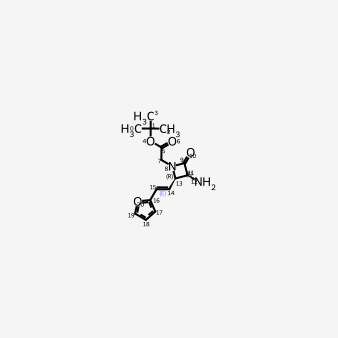 CC(C)(C)OC(=O)CN1C(=O)[C@@H](N)[C@H]1/C=C/c1ccco1